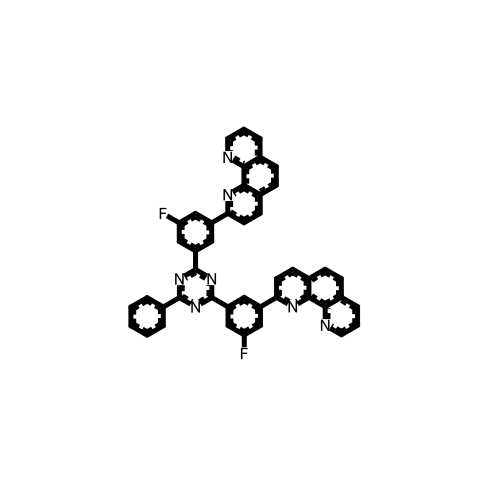 Fc1cc(-c2ccc3ccc4cccnc4c3n2)cc(-c2nc(-c3ccccc3)nc(-c3cc(F)cc(-c4ccc5ccc6cccnc6c5n4)c3)n2)c1